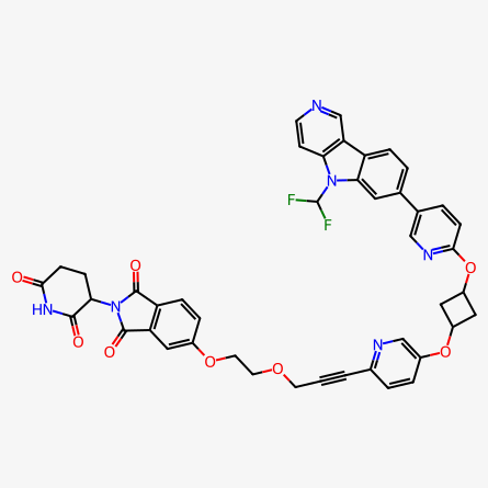 O=C1CCC(N2C(=O)c3ccc(OCCOCC#Cc4ccc(OC5CC(Oc6ccc(-c7ccc8c9cnccc9n(C(F)F)c8c7)cn6)C5)cn4)cc3C2=O)C(=O)N1